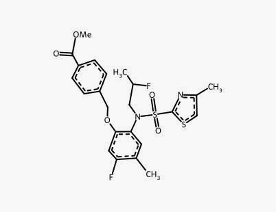 COC(=O)c1ccc(COc2cc(F)c(C)cc2N(CC(C)F)S(=O)(=O)c2nc(C)cs2)cc1